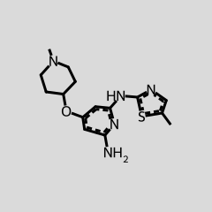 Cc1cnc(Nc2cc(OC3CCN(C)CC3)cc(N)n2)s1